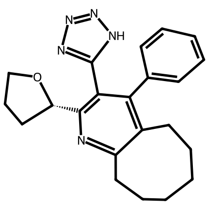 c1ccc(-c2c3c(nc([C@@H]4CCCO4)c2-c2nnn[nH]2)CCCCCC3)cc1